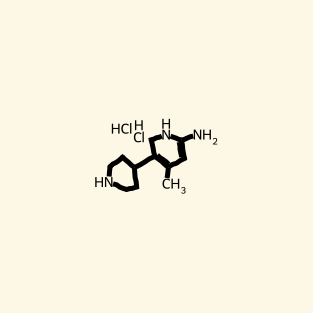 CC1=C(C2CCNCC2)CNC(N)=C1.Cl.Cl